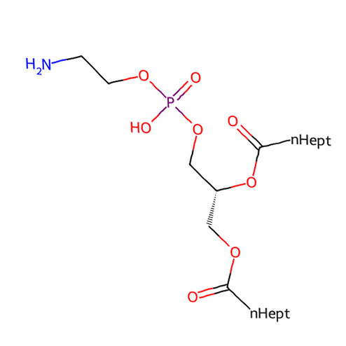 CCCCCCCC(=O)OC[C@H](COP(=O)(O)OCCN)OC(=O)CCCCCCC